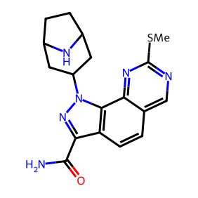 CSc1ncc2ccc3c(C(N)=O)nn(C4CC5CCC(C4)N5)c3c2n1